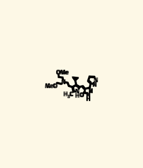 COCCN(CCOC)CCc1c(C)[nH]c(C=C2C(=O)NN=C2c2cccnn2)c1C1CC1